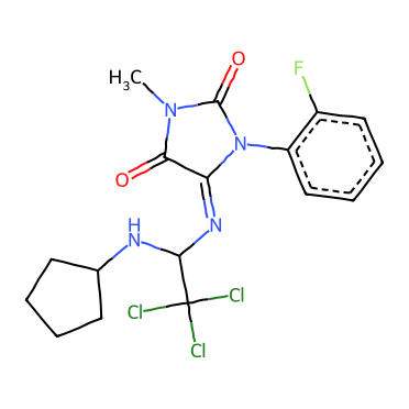 CN1C(=O)C(=NC(NC2CCCC2)C(Cl)(Cl)Cl)N(c2ccccc2F)C1=O